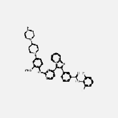 COc1cc(N2CCC(N3CCNCC3)CC2)ccc1Nc1nccc(-c2c(-c3cccc(C(=O)Nc4c(F)cccc4F)c3)nc3ccccn23)n1